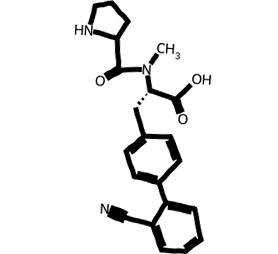 CN(C(=O)C1CCCN1)[C@@H](Cc1ccc(-c2ccccc2C#N)cc1)C(=O)O